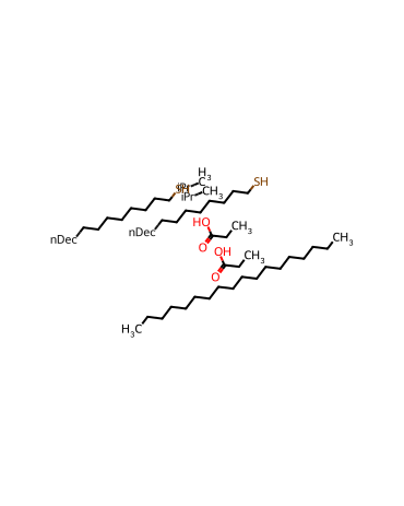 CC(C)C.CC(C)C.CCC(=O)O.CCC(=O)O.CCCCCCCCCCCCCCCCCC.CCCCCCCCCCCCCCCCCCS.CCCCCCCCCCCCCCCCCCS